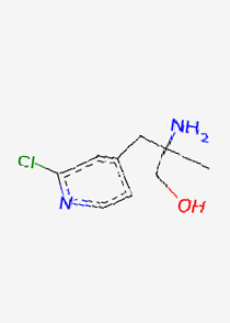 CC(N)(CO)Cc1ccnc(Cl)c1